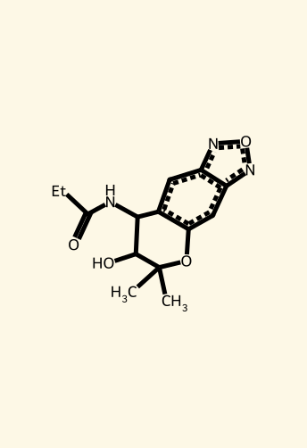 CCC(=O)NC1c2cc3nonc3cc2OC(C)(C)C1O